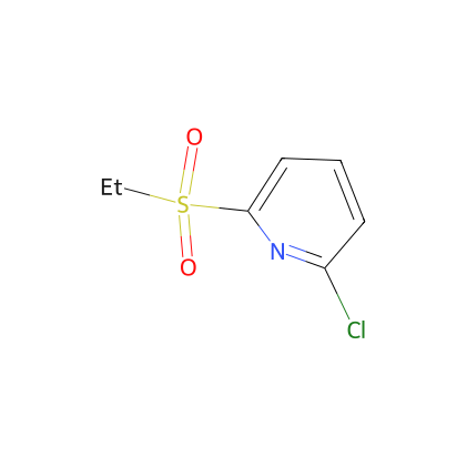 CCS(=O)(=O)c1cccc(Cl)n1